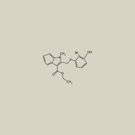 CCOC(=O)c1c(CSc2cccc(O)c2Br)n(C)c2ccccc12